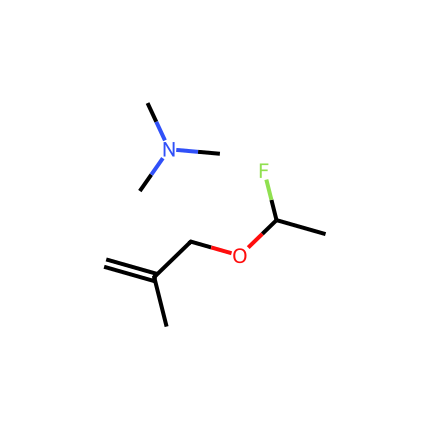 C=C(C)COC(C)F.CN(C)C